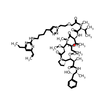 C=Cc1cc(CC)nc(NCCCCc2cn(CCOCC(=O)N(C)[C@H](C(=O)N[C@H](C(=O)N(C)[C@@H]([C@@H](C)CC)[C@@H](CC(=O)N3CCC[C@H]3[C@H](OC)[C@@H](C)C(=O)N[C@H](C)[C@@H](O)c3ccccc3)OC)C(C)C)C(C)C)nn2)n1